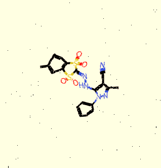 Cc1ccc2c(c1)S(=O)(=O)C(=NNc1c(C#N)c(C)nn1-c1ccccc1)S2(=O)=O